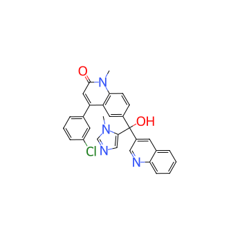 Cn1cncc1C(O)(c1cnc2ccccc2c1)c1ccc2c(c1)c(-c1cccc(Cl)c1)cc(=O)n2C